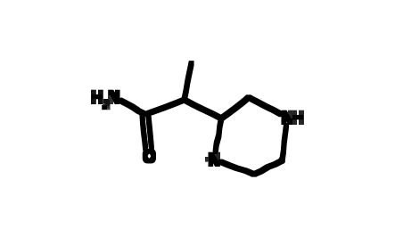 CC(C(N)=O)C1CNCC[N]1